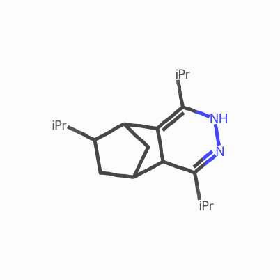 CC(C)C1=NNC(C(C)C)=C2C3CC(CC3C(C)C)C12